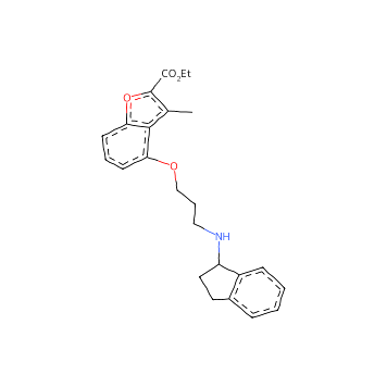 CCOC(=O)c1oc2cccc(OCCCNC3CCc4ccccc43)c2c1C